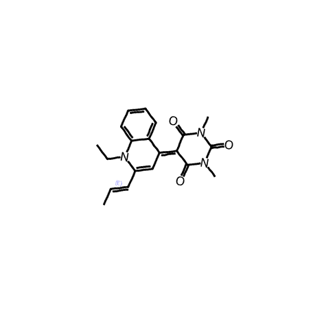 C/C=C/C1=CC(=C2C(=O)N(C)C(=O)N(C)C2=O)c2ccccc2N1CC